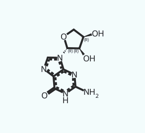 Nc1nc2c(ncn2[C@@H]2OC[C@@H](O)[C@H]2O)c(=O)[nH]1